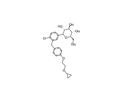 OC[C@H]1OC(c2ccc(Cl)c(Cc3ccc(OCCOC4CC4)cc3)c2)[C@H](O)[C@@H](O)[C@@H]1O